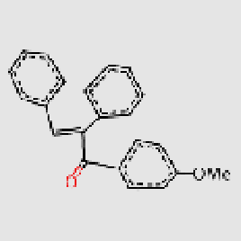 COc1ccc(C(=O)C(=Cc2ccccc2)c2ccccc2)cc1